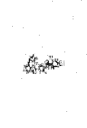 Cc1cc(C(=O)N2Cc3cccn3Cc3ccccc32)ccc1NC(=O)c1ccc(Cl)cc1C